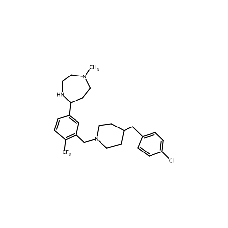 CN1CCNC(c2ccc(C(F)(F)F)c(CN3CCC(Cc4ccc(Cl)cc4)CC3)c2)CC1